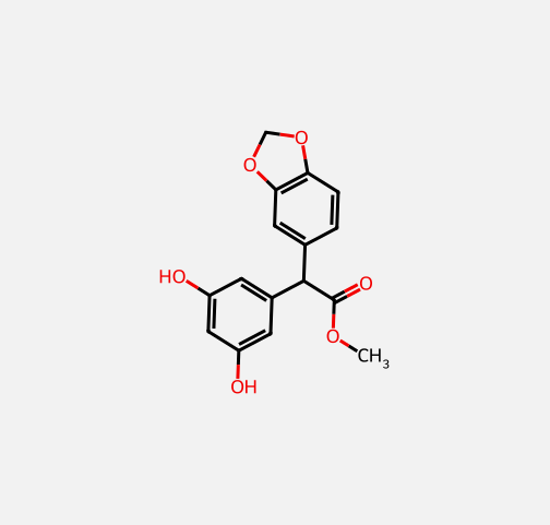 COC(=O)C(c1cc(O)cc(O)c1)c1ccc2c(c1)OCO2